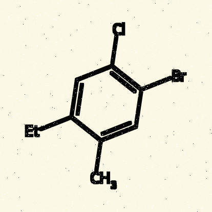 CCc1cc(Cl)c(Br)cc1C